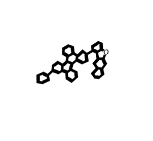 c1ccc(-c2ccc3c(c2)c2ccccc2c2c4ccc(-c5cccc6oc7cc8ccccc8cc7c56)cc4c4ccccc4c32)cc1